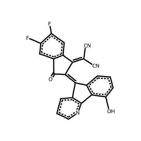 N#CC(C#N)=C1/C(=C2/c3cccnc3-c3c(O)cccc32)C(=O)c2cc(F)c(F)cc21